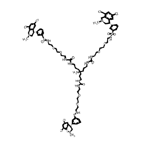 CN1Cc2c(Cl)cc(Cl)cc2[C@H](c2cccc(SNCCOCCOCCNC(=O)NCCCC(N)(CCCNC(=O)NCCOCCOCCN[S+]([O-])c3cccc([C@@H]4CN(C)Cc5c(Cl)cc(Cl)cc54)c3)CCCNC(=O)NCCOCCOCCNS(=O)(=O)c3cccc([C@@H]4CN(C)Cc5c(Cl)cc(Cl)cc54)c3)c2)C1